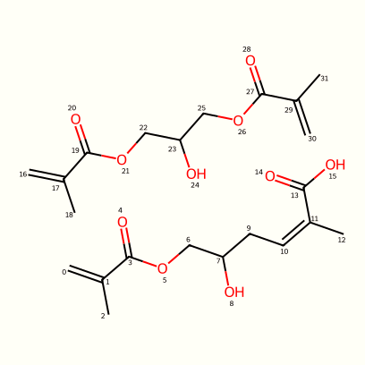 C=C(C)C(=O)OCC(O)CC=C(C)C(=O)O.C=C(C)C(=O)OCC(O)COC(=O)C(=C)C